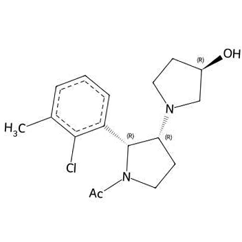 CC(=O)N1CC[C@@H](N2CC[C@@H](O)C2)[C@H]1c1cccc(C)c1Cl